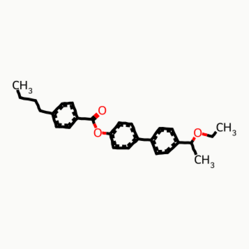 CCCCc1ccc(C(=O)Oc2ccc(-c3ccc(C(C)OCC)cc3)cc2)cc1